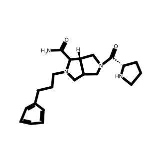 NC(=O)C1[C@@H]2CN(C(=O)[C@@H]3CCCN3)CC2CN1CC[CH]c1ccccc1